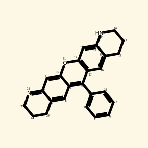 c1ccc(C2=c3cc4c(cc3Oc3cc5c(cc32)CCCN5)=NCCC4)cc1